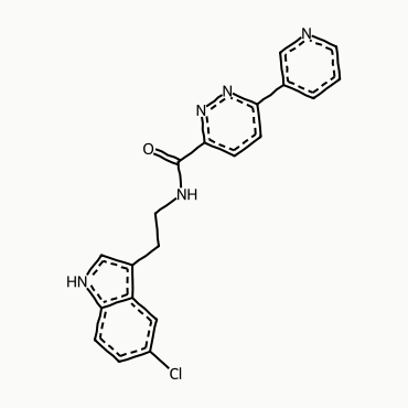 O=C(NCCc1c[nH]c2ccc(Cl)cc12)c1ccc(-c2cccnc2)nn1